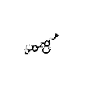 Fc1cc(-c2nc3cc(OCC4CC4)cc4c3n2CCCCO4)ccc1-c1ncn[nH]1